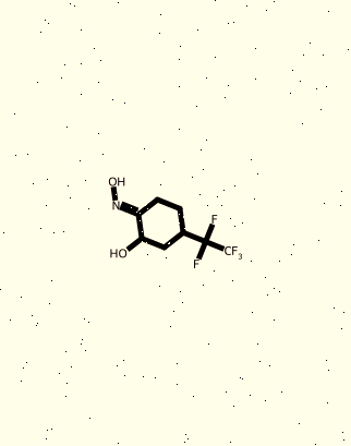 ON=C1CCC(C(F)(F)C(F)(F)F)CC1O